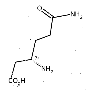 NC(=O)CC[C@H](N)CC(=O)O